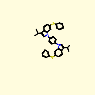 CC(C)c1cn(-c2ccc(-n3cc(C(C)C)c4ccc(Sc5ccccc5)cc43)cc2)c2cc(Sc3ccccc3)ccc12